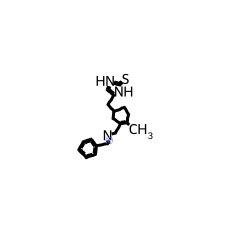 CC1=C(C/N=C/c2ccccc2)CC(Cc2c[nH]c(=S)[nH]2)CC1